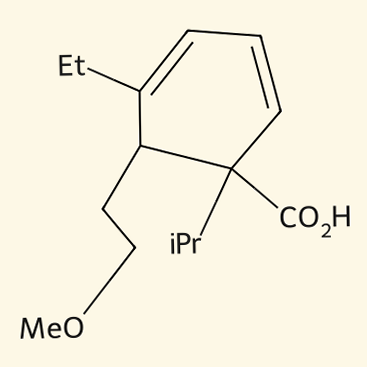 CCC1=CC=CC(C(=O)O)(C(C)C)C1CCOC